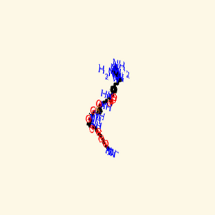 COC(=O)[C@H](CCCNC(=O)c1ccc(NC(=O)[C@H](C)NC(=O)[C@@H](NC(=O)CCOCCOCCOCCN=[N+]=[N-])C(C)C)s1)NC(=O)c1ccc(CCc2cnc3nc(N)nc(N)c3n2)cc1